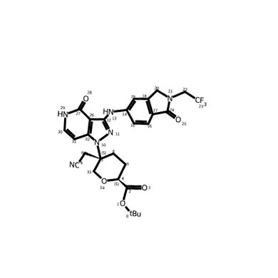 CC(C)(C)OC(=O)[C@@H]1CC[C@@](CC#N)(n2nc(Nc3ccc4c(c3)CN(CC(F)(F)F)C4=O)c3c(=O)[nH]ccc32)CO1